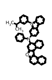 CC(C)c1cccc(-n2c3ccccc3c3ccc(N(c4ccccc4)c4cc5oc6ccc7ccccc7c6c5c5ccccc45)cc32)c1